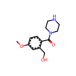 COc1ccc(C(=O)N2CCNCC2)c(CO)c1